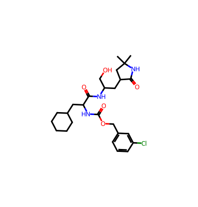 CC1(C)CC(CC(CO)NC(=O)C(CC2CCCCC2)NC(=O)OCc2cccc(Cl)c2)C(=O)N1